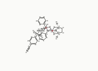 Cc1nc2ccccc2n1C1C[C@H]2CC[C@@H](C1)N2CCC(CNS(=O)(=O)c1ccc(C#N)cc1)c1ccccc1